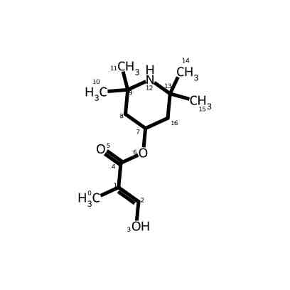 CC(=CO)C(=O)OC1CC(C)(C)NC(C)(C)C1